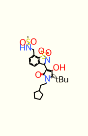 CC(C)(C)[C@H]1C(O)=C(C2=NS(=O)(=O)c3c(CNS(C)(=O)=O)cccc32)C(=O)N1CCC1CCCC1